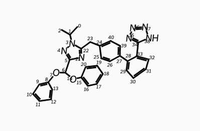 CC(C)n1nc(C(Oc2ccccc2)Oc2ccccc2)nc1Cc1ccc(-c2ccccc2-c2nnn[nH]2)cc1